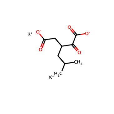 CC(C)CC(CC(=O)[O-])C(=O)C(=O)[O-].[K+].[K+]